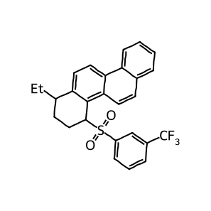 CCC1CCC(S(=O)(=O)c2cccc(C(F)(F)F)c2)c2c1ccc1c2ccc2ccccc21